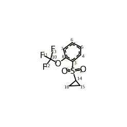 O=S(=O)(c1cc[c]cc1OC(F)(F)F)C1CC1